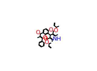 C=CC(C)OC(=O)C1=C(C)NC(C)=C(C(=O)OC(C)C=C)C1c1cccc2c(=O)c(C)c(-c3ccccc3)oc12